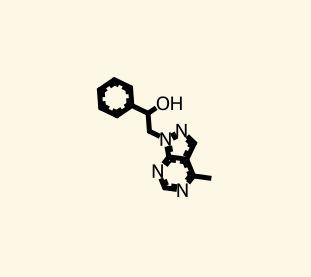 Cc1ncnc2c1cnn2CC(O)c1ccccc1